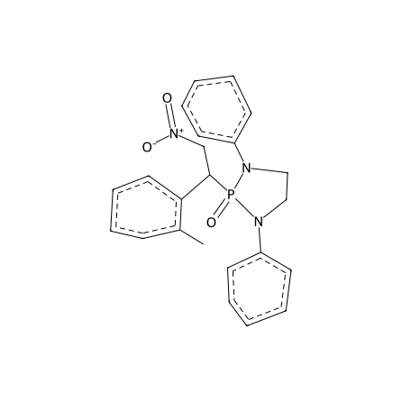 Cc1ccccc1C(C[N+](=O)[O-])P1(=O)N(c2ccccc2)CCN1c1ccccc1